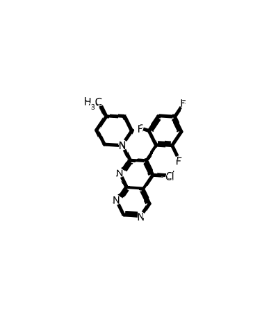 CC1CCN(c2nc3ncncc3c(Cl)c2-c2c(F)cc(F)cc2F)CC1